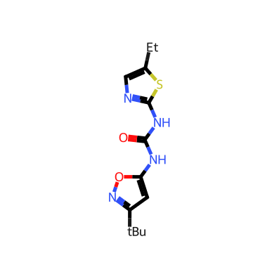 CCc1cnc(NC(=O)Nc2cc(C(C)(C)C)no2)s1